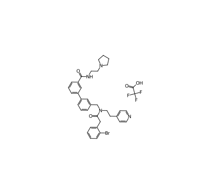 O=C(NCCN1CCCC1)c1cccc(-c2cccc(CN(CCc3ccncc3)C(=O)Cc3ccccc3Br)c2)c1.O=C(O)C(F)(F)F